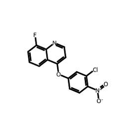 O=[N+]([O-])c1ccc(Oc2ccnc3c(F)cccc23)cc1Cl